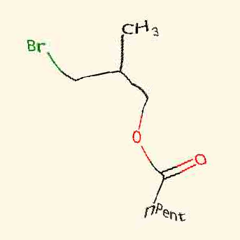 CCCCCC(=O)OCC(C)CBr